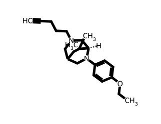 C#CCCCN1CC2CN(c3ccc(OCC)cc3)[C@H](C1)C(C)(C)C2